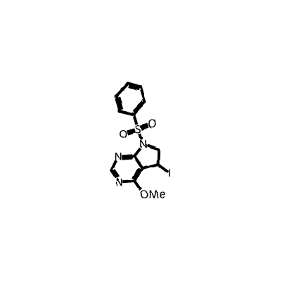 COc1ncnc2c1C(I)CN2S(=O)(=O)c1ccccc1